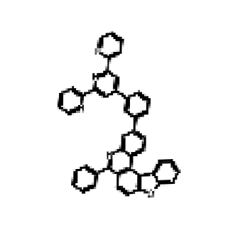 c1ccc(-c2nc3cc(-c4cccc(-c5cc(-c6ccccn6)nc(-c6ccccn6)c5)c4)ccc3c3c2ccc2oc4ccccc4c23)cc1